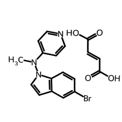 CN(c1ccncc1)n1ccc2cc(Br)ccc21.O=C(O)C=CC(=O)O